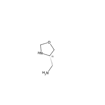 NC[C@H]1COCN1